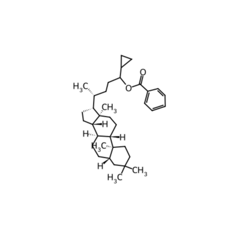 C[C@H](CCC(OC(=O)c1ccccc1)C1CC1)[C@H]1CC[C@H]2[C@@H]3CC[C@H]4CC(C)(C)CC[C@]4(C)[C@H]3CC[C@]12C